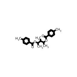 Cc1ccc(C(=O)OC(C)C(C)C(C)OC(=O)c2ccc(C)cc2)cc1